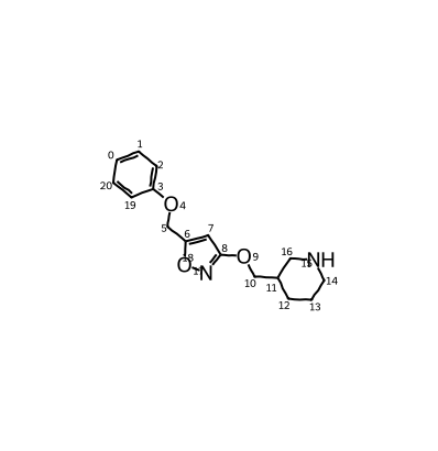 c1ccc(OCc2cc(OCC3CCCNC3)no2)cc1